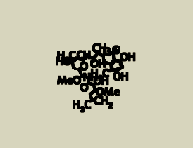 C=C(C)CC(OC)C(O)C(=O)N[C@H](OC)[C@@H]1C[C@@H](O)C(C)(C)[C@@H](CC(O)C(C)C2Cc3c(C)c(O)cc(O)c3C(=O)O2)O1